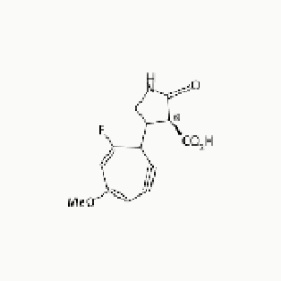 COC1=CC#CC(C2CNC(=O)[C@H]2C(=O)O)C(F)=C1